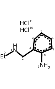 CCNCc1ccccc1N.Cl.Cl